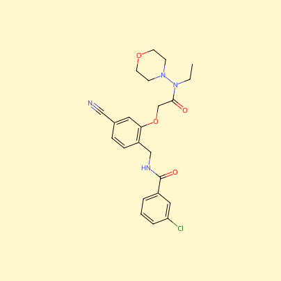 CCN(C(=O)COc1cc(C#N)ccc1CNC(=O)c1cccc(Cl)c1)N1CCOCC1